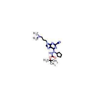 CN(C)CCCn1cnc2c(N(NC(=O)OC(C)(C)C)C3CCCC3)nc(C#N)nc21